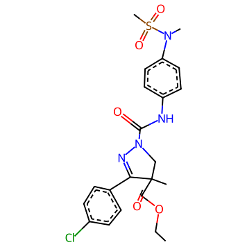 CCOC(=O)C1(C)CN(C(=O)Nc2ccc(N(C)S(C)(=O)=O)cc2)N=C1c1ccc(Cl)cc1